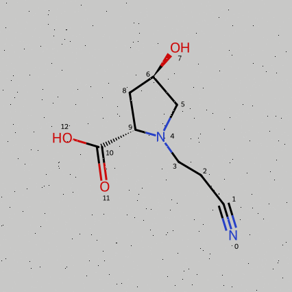 N#CCCN1C[C@H](O)C[C@H]1C(=O)O